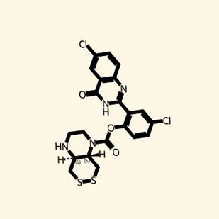 O=C(Oc1ccc(Cl)cc1-c1nc2ccc(Cl)cc2c(=O)[nH]1)N1CCN[C@@H]2CSSC[C@H]21